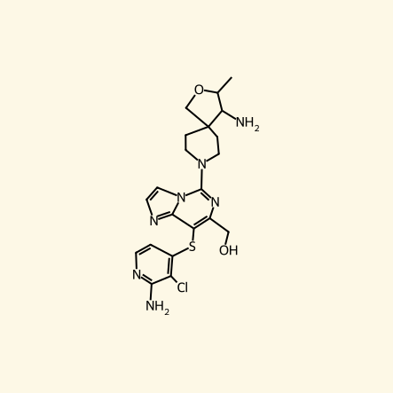 CC1OCC2(CCN(c3nc(CO)c(Sc4ccnc(N)c4Cl)c4nccn34)CC2)C1N